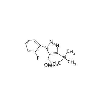 COCc1c([Si](C)(C)C)nnn1-c1ccccc1F